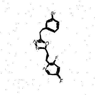 Fc1cnc(/C=C/c2nnc(Cc3cccc(Br)c3)o2)c(F)c1